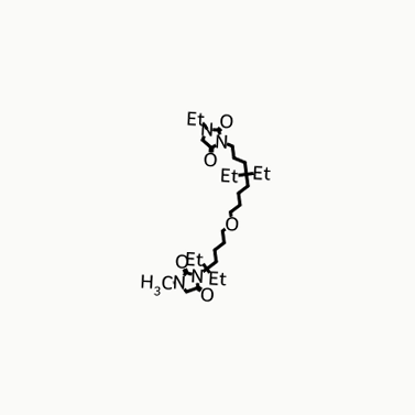 CCN1CC(=O)N(CCCC(CC)(CC)CCCCOCCCCC(CC)(CC)N2C(=O)CN(C)C2=O)C1=O